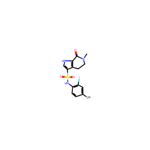 CN1CCc2c(S(=O)(=O)Nc3ccc(C#N)cc3F)c[nH]c2C1=O